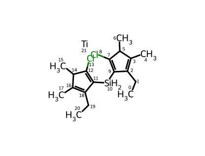 CCC1=C(C)C(C)C(Cl)=C1[SiH2]C1=C(Cl)C(C)C(C)=C1CC.[Ti]